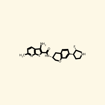 Cc1ccc2c(N)c(C(=O)N[C@H]3COc4cc([C@@H]5CCNC[C@H]5F)ccc4C3)sc2n1